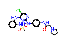 CS(=O)(=O)Nc1ccccc1Nc1nc(Nc2ccc(NC(=O)CN3CCCC3)cc2)ncc1Cl